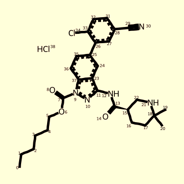 CCCCCCOC(=O)n1nc(NC(=O)[C@@H]2CCC(C)(C)NC2)c2cc(-c3cc(C#N)ccc3Cl)ccc21.Cl